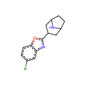 Brc1ccc2oc(C3CC4CCC(C3)N4)nc2c1